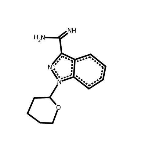 N=C(N)c1nn(C2CCCCO2)c2ccccc12